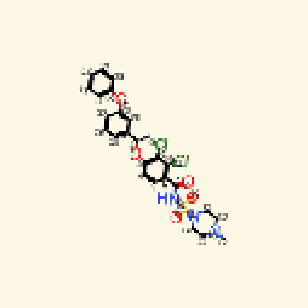 C[C@@H](Oc1ccc(C(=O)NS(=O)(=O)N2CCN(C)CC2)c(Cl)c1Cl)c1cccc(Oc2ccccc2)c1